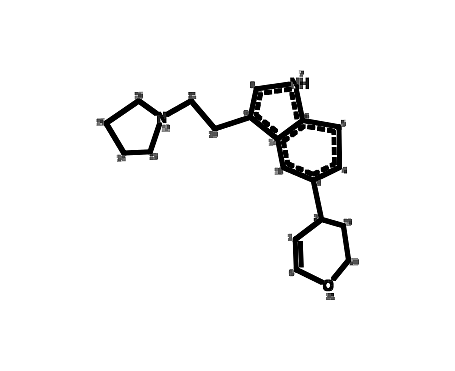 C1=CC(c2ccc3[nH]cc(CCN4CCCC4)c3c2)CCO1